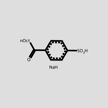 CCCCCCCCC(=O)c1ccc(S(=O)(=O)O)cc1.[NaH]